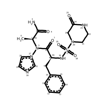 C[C@@H](C(N)=O)N(C(=O)[C@H](Cc1ccccc1)NS(=O)(=O)N1CCNC(=O)C1)n1ccnc1